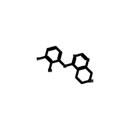 CCc1c(F)cccc1Oc1ncnc2c1CCNC2